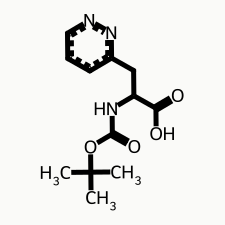 CC(C)(C)OC(=O)NC(Cc1cccnn1)C(=O)O